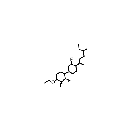 CCOC1CCC(C2CCC(C(C)CCC(C)CC)C(F)C2)C(F)C1F